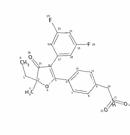 CCC1(C)OC(c2ccc(C[SH](=O)=O)cc2)=C(c2cc(F)cc(F)c2)C1=O